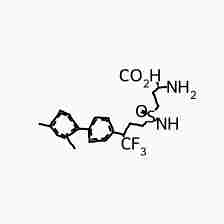 Cc1ccc(-c2ccc(C(CCS(=N)(=O)CC[C@H](N)C(=O)O)C(F)(F)F)cc2)c(C)c1